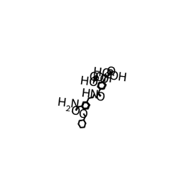 NC(=O)c1cc(CCNC(=O)c2ccc(OCP(=O)(O)O)c(P(=O)(O)O)c2)ccc1OCC1CCCCC1